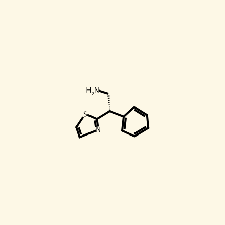 NC[C@H](c1ccccc1)c1nccs1